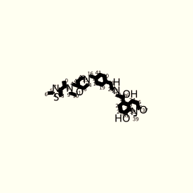 C=C(c1csc(C)n1)N1CCOC2(CCN(Cc3ccc(CCNC[C@H](O)c4ccc(O)c5c4ccc(=O)n5C)cc3)CC2)C1